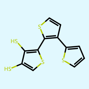 Sc1csc(-c2sccc2-c2cccs2)c1S